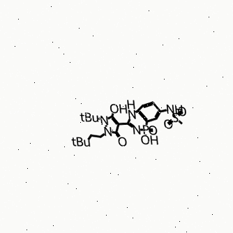 CC(C)(C)CCn1c(=O)c(C2=NP(=O)(O)c3cc(NS(C)(=O)=O)ccc3N2)c(O)n1C(C)(C)C